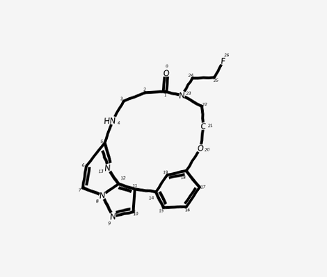 O=C1CCNc2ccn3ncc(c3n2)-c2cccc(c2)OCCN1CCF